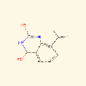 CC(C)c1cccc2c1N=C(O)NC2O